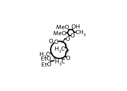 CCOC(C[C@@H]1C[C@@H](C)CCC(=O)OC[C@@H](COC2OC(C)C(O)C(OC)C2OC)/C=C(C)/C=C/C(=O)[C@H](C)C1)OCC